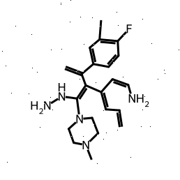 C=C/C=C(\C=C/N)C(/C(=C)c1ccc(F)c(C)c1)=C(/NN)N1CCN(C)CC1